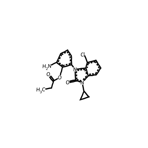 CCC(=O)Oc1c(N)cccc1-n1c(=O)n(C2CC2)c2cccc(Cl)c21